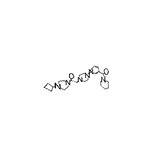 O=C(CN1CCN(N2C=C(C(=O)N3CCCCC3)C=CC2)CC1)N1CCN(C2CCC2)CC1